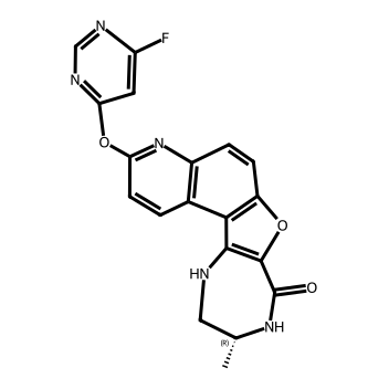 C[C@@H]1CNc2c(oc3ccc4nc(Oc5cc(F)ncn5)ccc4c23)C(=O)N1